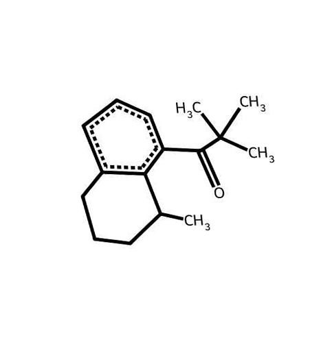 CC1CCCc2cccc(C(=O)C(C)(C)C)c21